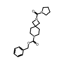 O=C(OCc1ccccc1)N1CCC2(CC1)CN(C(=O)N1CCCC1)C2